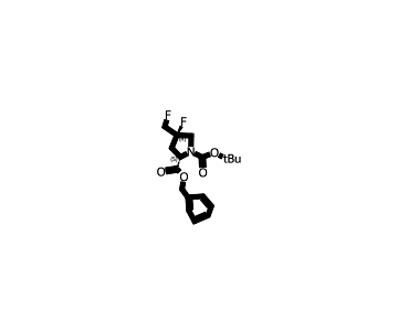 CC(C)(C)OC(=O)N1C[C@@](F)(CF)C[C@H]1C(=O)OCc1ccccc1